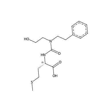 CSCC[C@H](NC(=O)N(CCO)CCc1ccccc1)C(=O)O